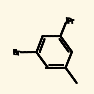 Cc1[c]c(Br)cc(C(C)C)c1